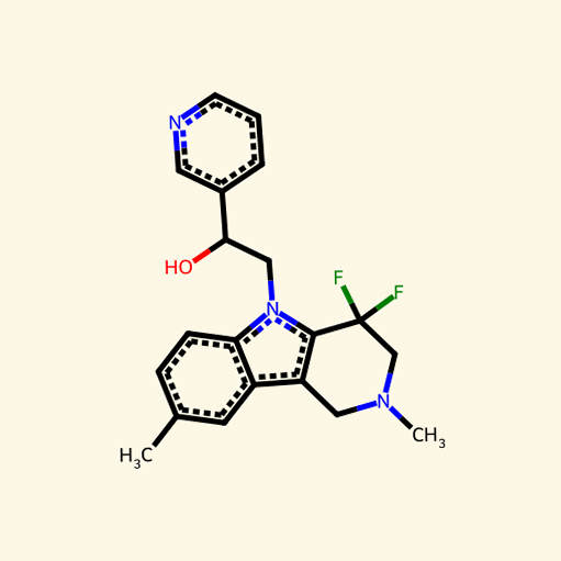 Cc1ccc2c(c1)c1c(n2CC(O)c2cccnc2)C(F)(F)CN(C)C1